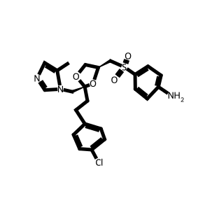 Cc1cncn1C[C@@]1(CCc2ccc(Cl)cc2)OC[C@@H](CS(=O)(=O)c2ccc(N)cc2)O1